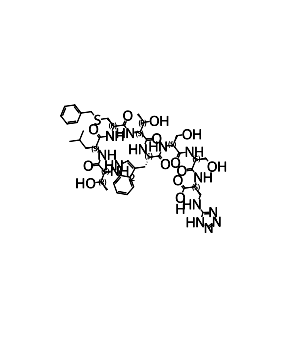 CC(C)C[C@H](NC(=O)[C@@H](N)[C@@H](C)O)C(=O)N[C@@H](CSCc1ccccc1)C(=O)N[C@H](C(=O)N[C@@H](Cc1c[nH]c2ccccc12)C(=O)N[C@@H](CO)C(=O)N[C@@H](CO)C(=O)N[C@@H](CNc1nnn[nH]1)C(=O)O)[C@@H](C)O